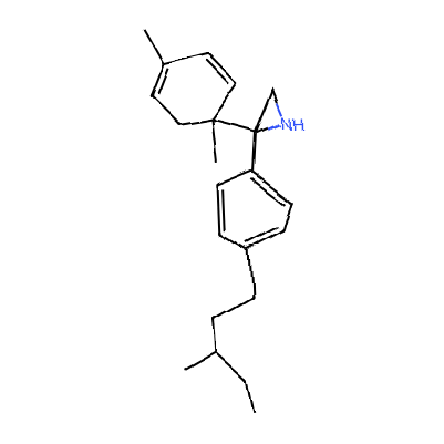 CCC(C)CCc1ccc(C2(C3(C)C=CC(C)=CC3)CN2)cc1